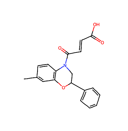 Cc1ccc2c(c1)OC(c1ccccc1)CN2C(=O)C=CC(=O)O